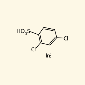 O=S(=O)(O)c1ccc(Cl)cc1Cl.[In]